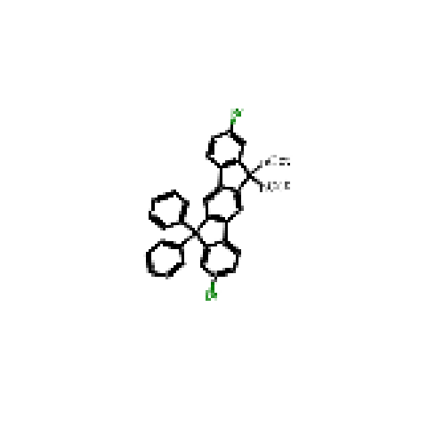 CCCCCCCCC1(CCCCCCCC)c2cc(Br)ccc2-c2cc3c(cc21)-c1ccc(Br)cc1C3(c1ccccc1)c1ccccc1